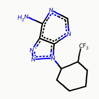 Nc1ncnc2c1nnn2C1CCCCC1C(F)(F)F